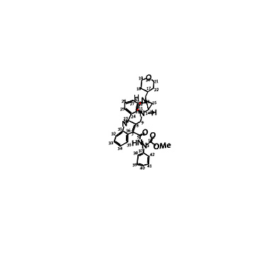 COC(=O)N(NC(=O)c1c(CN2C[C@@H]3C[C@H]2CN3C2CCOCC2)c(-c2ccccc2)nc2ccccc12)c1ccccc1